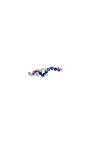 CC(NC(=O)c1nc(C(C)(C)C)no1)c1ccc(-c2ncnc3[nH]c(-c4ccc(N5CCN(CC6CCN(c7ccc(N8CCC(=O)NC8=O)cc7)CC6)C[C@@H]5C)nc4)cc23)cc1F